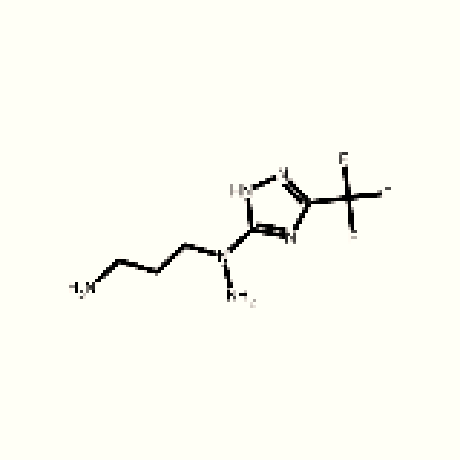 NCCCN(N)c1nc(C(F)(F)F)n[nH]1